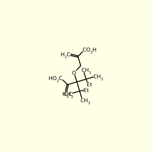 C=C(COC(C(=C)C(=O)O)(C(C)(C)CC)C(C)(C)CC)C(=O)O